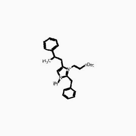 CCCCCCCCCCCC[n+]1c(CC(C)c2ccccc2)cn(C(C)C)c1Cc1ccccc1